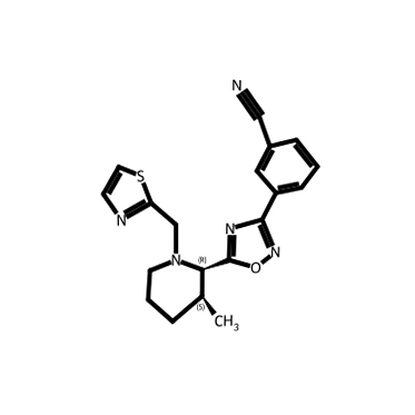 C[C@H]1CCCN(Cc2nccs2)[C@H]1c1nc(-c2cccc(C#N)c2)no1